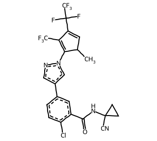 CC1C=C(C(F)(F)C(F)(F)F)C(C(F)(F)F)=C1n1cc(-c2ccc(Cl)c(C(=O)NC3(C#N)CC3)c2)cn1